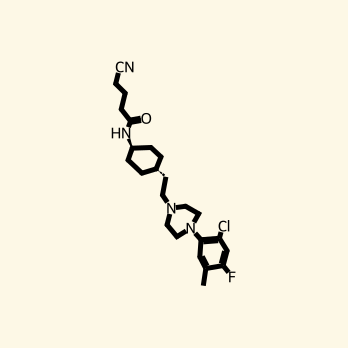 Cc1cc(N2CCN(CC[C@H]3CC[C@H](NC(=O)CCCC#N)CC3)CC2)c(Cl)cc1F